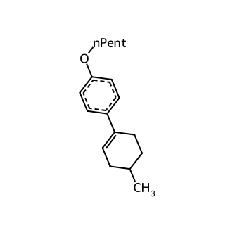 CCCCCOc1ccc(C2=CCC(C)CC2)cc1